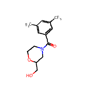 O=C(c1cc(C(F)(F)F)cc(C(F)(F)F)c1)N1CCOC(CO)C1